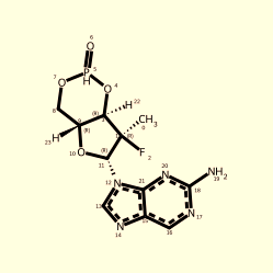 C[C@@]1(F)[C@@H]2O[PH](=O)OC[C@H]2O[C@H]1n1cnc2cnc(N)nc21